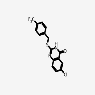 O=c1[nH]c(SCc2ccc(C(F)(F)F)cc2)nc2ccc(Cl)cc12